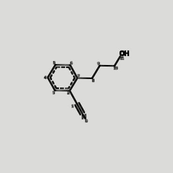 N#Cc1ccccc1CCCO